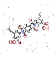 C#Cc1cc(C(=O)O)cc(-n2c(=O)c3cc4c(=O)n(-c5cc(C#C)cc(C(=O)O)c5)c(=O)c4cc3c2=O)c1